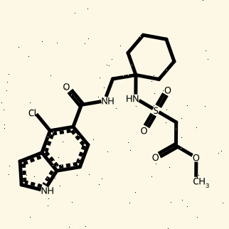 COC(=O)CS(=O)(=O)NC1(CNC(=O)c2ccc3[nH]ccc3c2Cl)CCCCC1